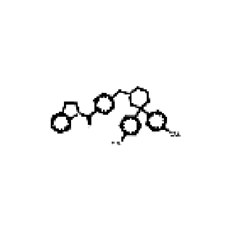 COc1ccc(C2(c3ccc(OC)cc3)CCCN(Cc3ccc(C(=O)N4CCc5ccccc54)cc3)C2)cc1